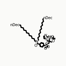 CCCCCCCCCCCCCCCCCCCCCCN(CCCCCCCCCCCCCCCCCCCCCC)C(=O)c1ccc(S(=O)(=O)OCC2(Cn3ccnc3[N+](=O)[O-])COC(C)(C)OC2)cc1